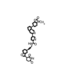 Cn1c(=O)oc2cc(-c3cccc4cc(-c5ccc(C(=O)NCC#Cc6ccc7occ(C8CCC(=O)NC8=O)c7c6)nc5)ncc34)ccc21